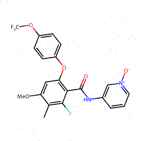 COc1cc(Oc2ccc(OC(F)(F)F)cc2)c(C(=O)Nc2ccc[n+]([O-])c2)c(F)c1C